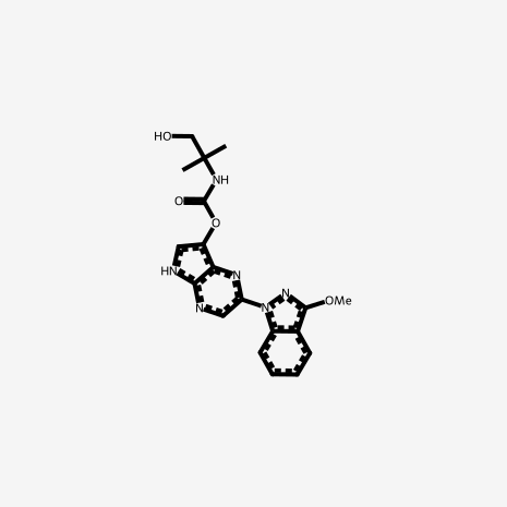 COc1nn(-c2cnc3[nH]cc(OC(=O)NC(C)(C)CO)c3n2)c2ccccc12